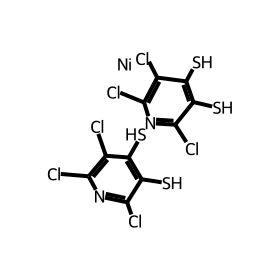 Sc1c(Cl)nc(Cl)c(Cl)c1S.Sc1c(Cl)nc(Cl)c(Cl)c1S.[Ni]